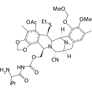 CCS[C@@H]1c2c(OC(C)=O)c(C)c3c(c2[C@H](COC(=O)NC(=O)C(N)C(C)C)N2C1[C@H]1c4c(cc(C)c(OC)c4OCOC)C[C@@H]([C@@H]2C#N)N1C)OCO3